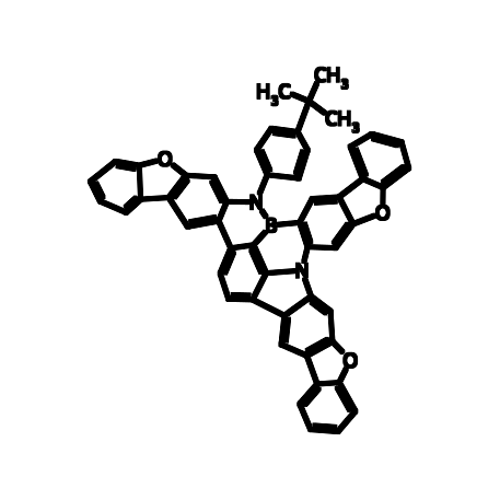 CC(C)(C)c1ccc(N2B3c4cc5c(cc4-n4c6cc7oc8ccccc8c7cc6c6ccc(c3c64)-c3cc4c(cc32)oc2ccccc24)oc2ccccc25)cc1